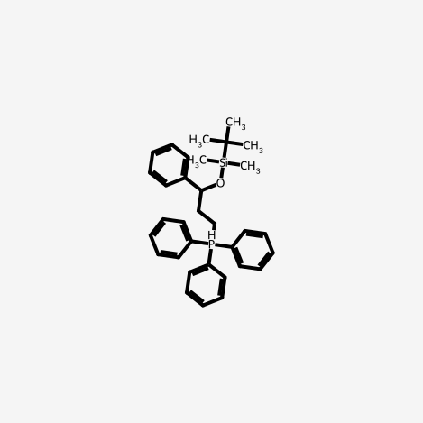 CC(C)(C)[Si](C)(C)OC(CC[PH](c1ccccc1)(c1ccccc1)c1ccccc1)c1ccccc1